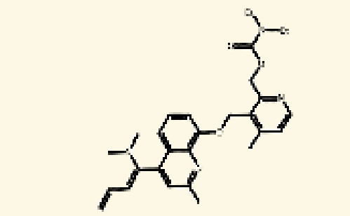 C=C/C=C(/c1cc(C)nc2c(OCc3c(C)ccnc3COC(=O)N(CC)CC)cccc12)N(C)C